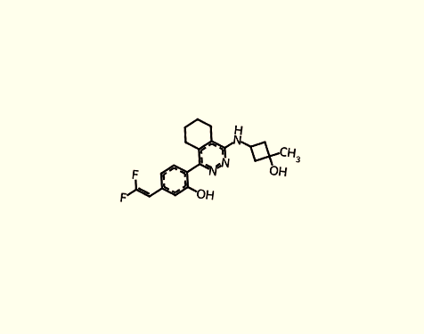 CC1(O)CC(Nc2nnc(-c3ccc(C=C(F)F)cc3O)c3c2CCCC3)C1